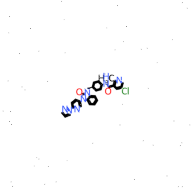 Cc1ncc(Cl)cc1C(=O)N[C@H]1CC[C@H](Cn2c(=O)n(-c3ccc(-n4cccn4)nc3)c3ccccc32)CC1